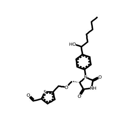 CCCCCC(O)c1ccc(N2C(=O)NC(=O)[C@@H]2COCc2ccc(C=O)s2)cc1